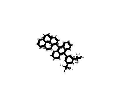 FC(F)(F)c1cc(-c2c3ccccc3c(-c3ccc4ccc5cccc6ccc3c4c56)c3ccccc23)cc(C(F)(F)F)c1